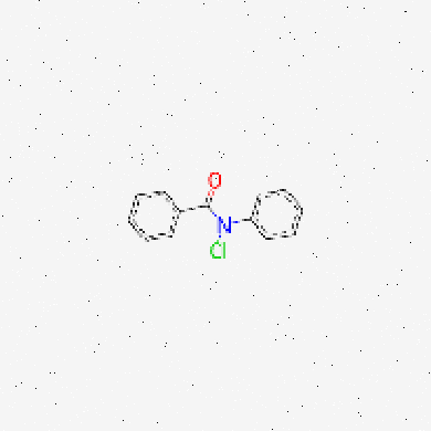 O=C(c1ccccc1)N(Cl)c1ccccc1